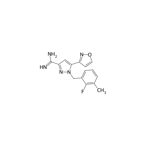 Cc1cccc(Cn2nc(C(=N)N)cc2-c2ccon2)c1F